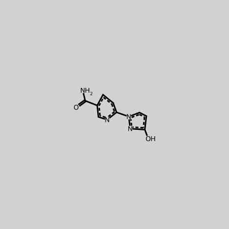 NC(=O)c1ccc(-n2ccc(O)n2)nc1